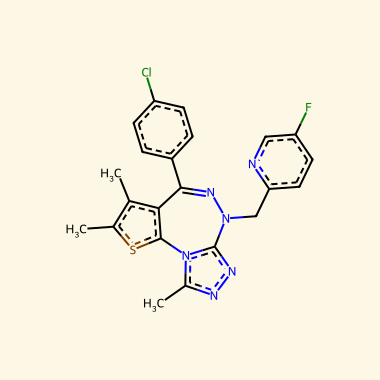 Cc1sc2c(c1C)C(c1ccc(Cl)cc1)=NN(Cc1ccc(F)cn1)c1nnc(C)n1-2